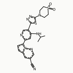 CC(C)Nc1cc(-c2ccc3cc(C#N)cnn23)ncc1-c1nnc(N2CCS(=O)(=O)CC2)s1